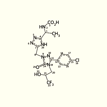 CC(NC(=O)O)c1nnc(Cn2nc(-c3ccc(Cl)cc3)n(CC(O)C(F)(F)F)c2=O)[nH]1